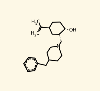 C=C(C)[C@H]1CC[C@H](O)[C@H](CN2CCC(Cc3ccccc3)CC2)C1